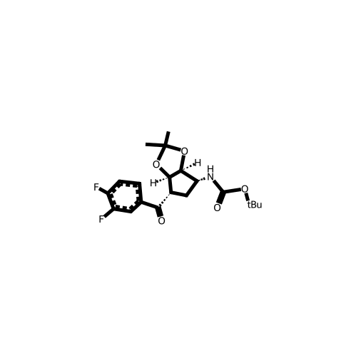 CC(C)(C)OC(=O)N[C@@H]1C[C@H](C(=O)c2ccc(F)c(F)c2)[C@H]2OC(C)(C)O[C@H]21